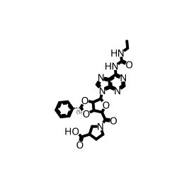 CCNC(=O)Nc1ncnc2c1ncn2C1OC(C(=O)N2CCC(C(=O)O)C2)C2O[C@H](c3ccccc3)OC21